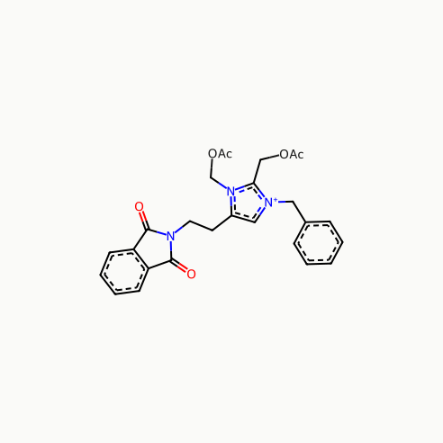 CC(=O)OCc1n(COC(C)=O)c(CCN2C(=O)c3ccccc3C2=O)c[n+]1Cc1ccccc1